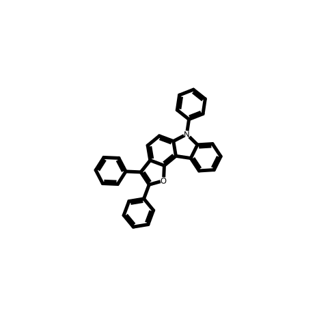 c1ccc(-c2oc3c(ccc4c3c3ccccc3n4-c3ccccc3)c2-c2ccccc2)cc1